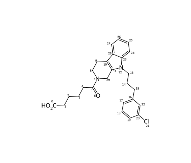 O=C(O)CCCCC(=O)N1CCc2c(n(CCCc3cccc(Cl)c3)c3ccccc23)C1